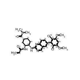 C=CC(=O)N[C@H]1C[C@H](C(=O)N(C)C)CC[C@H]1Nc1ncc2cc(-c3c(Cl)c(OC)cc(OC)c3Cl)ccc2n1